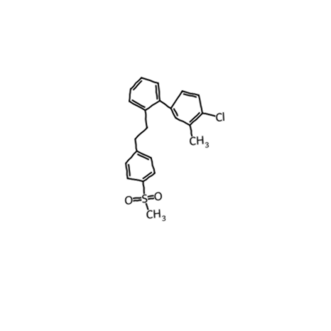 Cc1cc(-c2ccccc2CCc2ccc(S(C)(=O)=O)cc2)ccc1Cl